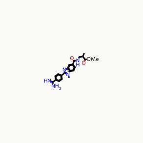 COC(=O)C(C)CNC(=O)c1ccc2c(c1)nc(-c1ccc(C(=N)N)cc1)n2C